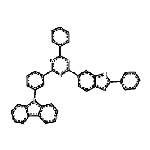 c1ccc(-c2nc(-c3cccc(-n4c5ccccc5c5ccccc54)c3)nc(-c3ccc4nc(-c5ccccc5)oc4c3)n2)cc1